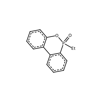 CCP1(=O)Oc2ccccc2-c2ccccc21